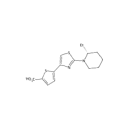 CC[C@@H]1CCCCN1c1nc(-c2ccc(C(=O)O)s2)cs1